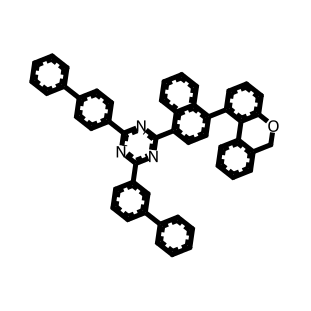 c1ccc(-c2ccc(-c3nc(-c4cccc(-c5ccccc5)c4)nc(-c4ccc(-c5cccc6c5-c5ccccc5CO6)c5ccccc45)n3)cc2)cc1